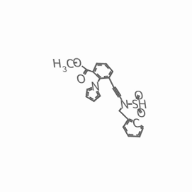 COC(=O)c1cccc(C#CN(Cc2ccccc2)[SH](=O)=O)c1-n1cccc1